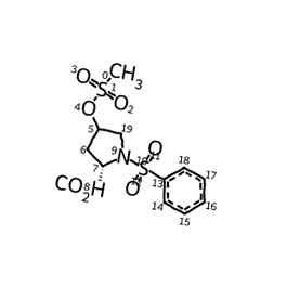 CS(=O)(=O)OC1C[C@@H](C(=O)O)N(S(=O)(=O)c2ccccc2)C1